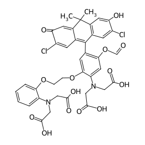 CC1(C)C2=CC(=O)C(Cl)=CC2=C(c2cc(OCCOc3ccccc3N(CC(=O)O)CC(=O)O)c(N(CC(=O)O)CC(=O)O)cc2OC=O)c2cc(Cl)c(O)cc21